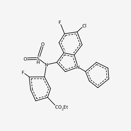 CCOC(=O)c1ccc(F)c(N(c2cn(-c3ccccc3)c3cc(Cl)c(F)cc23)[SH](=O)=O)c1